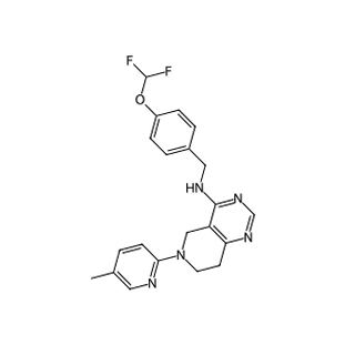 Cc1ccc(N2CCc3ncnc(NCc4ccc(OC(F)F)cc4)c3C2)nc1